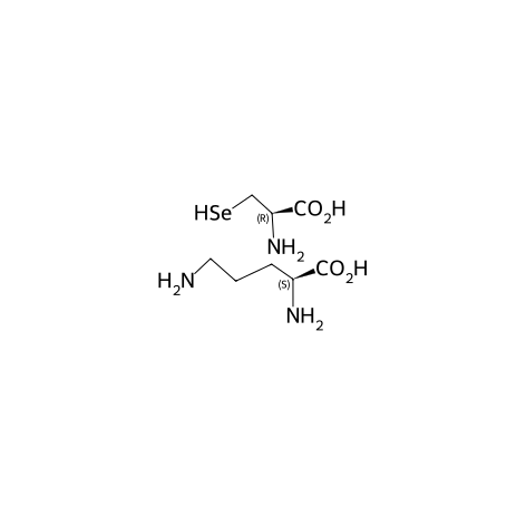 NCCC[C@H](N)C(=O)O.N[C@@H](C[SeH])C(=O)O